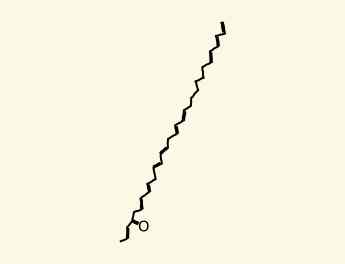 C=CC=CC=CCCCCCCC=CC=CCC=CC=CCC=CC=CCC(=O)C=CC